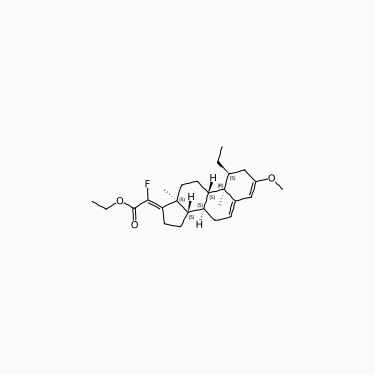 CCOC(=O)C(F)=C1CC[C@H]2[C@@H]3CC=C4C=C(OC)C[C@H](CC)[C@]4(C)[C@H]3CC[C@]12C